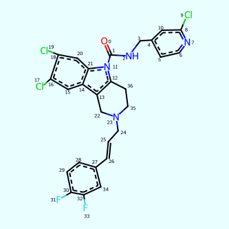 O=C(NCc1ccnc(Cl)c1)n1c2c(c3cc(Cl)c(Cl)cc31)CN(CC=Cc1ccc(F)c(F)c1)CC2